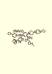 C=CC(=O)Nc1cc(Nc2cc(N3OCC[C@@H]3c3ccc(F)c(Cl)c3)ncn2)c(OC)cc1N1CCC(N2CCN(C3CCC3)CC2)CC1